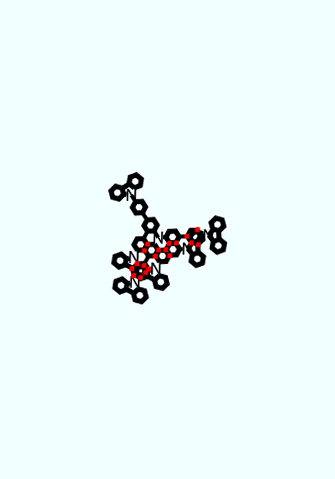 c1ccc2c(c1)c1ccccc1n2-c1ccc(-c2ccc(N(c3ccc(-c4ccc(-n5c6ccccc6c6ccccc65)cc4)cc3-c3ccc(-n4c5ccccc5c5ccccc54)cc3)c3ccc(-c4ccc(-n5c6ccccc6c6ccccc65)cc4)cc3-c3ccc(-n4c5ccccc5c5ccccc54)cc3)c(-c3ccc(-n4c5ccccc5c5ccccc54)cc3)c2)cc1